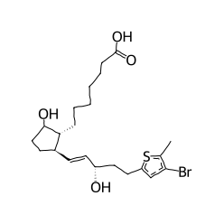 Cc1sc(CC[C@H](O)/C=C/[C@H]2CCC(O)[C@@H]2CCCCCCC(=O)O)cc1Br